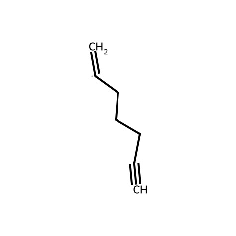 C#CCCC[C]=C